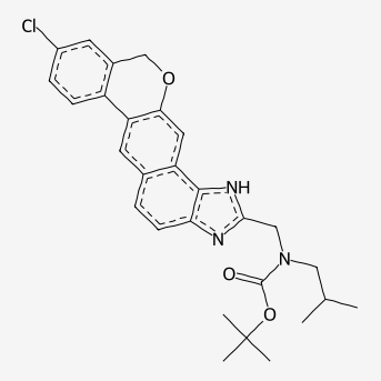 CC(C)CN(Cc1nc2ccc3cc4c(cc3c2[nH]1)OCc1cc(Cl)ccc1-4)C(=O)OC(C)(C)C